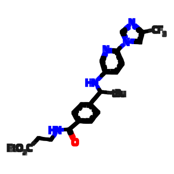 CCOC(=O)CCNC(=O)c1ccc(C(Nc2ccc(-n3cnc(C(F)(F)F)c3)nc2)C(C)(C)C)cc1